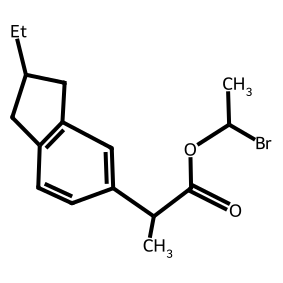 CCC1Cc2ccc(C(C)C(=O)OC(C)Br)cc2C1